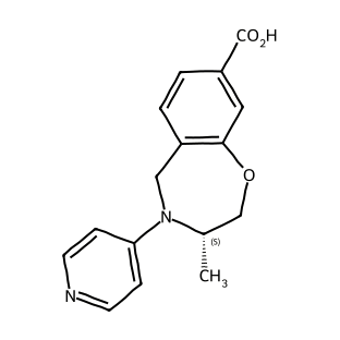 C[C@H]1COc2cc(C(=O)O)ccc2CN1c1ccncc1